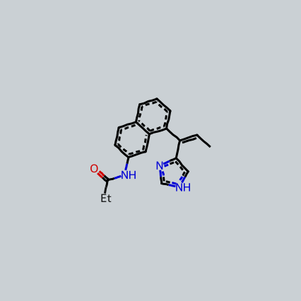 CC=C(c1c[nH]cn1)c1cccc2ccc(NC(=O)CC)cc12